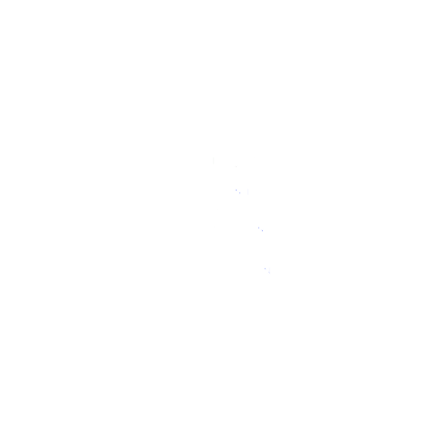 COc1ccc(NC(=O)Cl)c(-c2nc(C)no2)c1